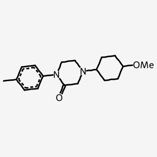 COC1CCC(N2CCN(c3ccc(C)cc3)C(=O)C2)CC1